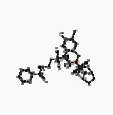 N[C@H](Cc1cc(F)c(F)cc1F)C1CC2CCC(C1)N2S(=O)(=O)CCNS(=O)(=O)CCNC(=O)c1ccccc1